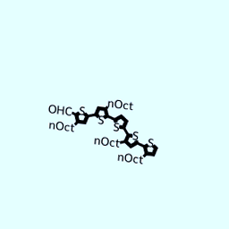 CCCCCCCCc1cc(-c2cc(CCCCCCCC)c(-c3ccc(-c4sc(-c5sccc5CCCCCCCC)cc4CCCCCCCC)s3)s2)sc1C=O